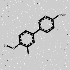 CCCCCCCCCc1ccc(-c2ccc(OCC)c(F)c2)cc1